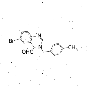 Cc1ccc(CN2C=Nc3ccc(Br)cc3C2C=O)cc1